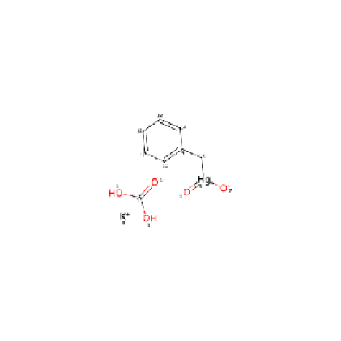 O=C(O)O.[K+].[O]=[Hg]([O-])[CH2]c1ccccc1